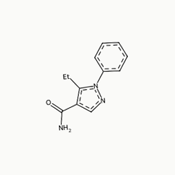 CCc1c(C(N)=O)cnn1-c1ccccc1